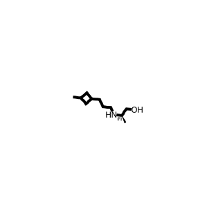 CC1CC(CCCN[C@H](C)CO)C1